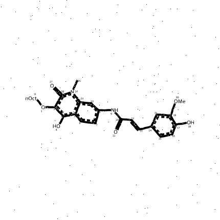 CCCCCCCCOc1c(O)c2ccc(NC(=O)C=Cc3ccc(O)c(OC)c3)cc2n(C)c1=O